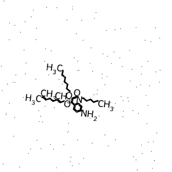 CCCCCCCCOc1c(OC/C=C(\C)CCC=C(C)C)c2ccc(N)cc2n(CCCCCC)c1=O